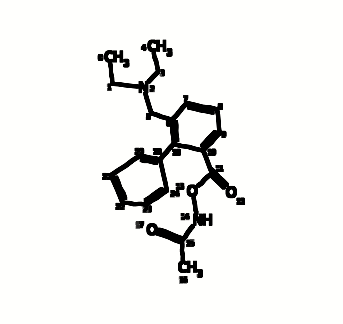 CCN(CC)Cc1cccc(C(=O)ONC(C)=O)c1-c1ccccc1